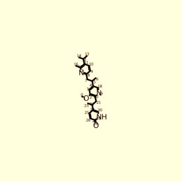 COc1cc(C(C)Cc2ccc(C(C)C)c(C)n2)cnc1CC(C)c1ccc(=O)[nH]c1